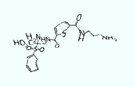 NCCCNC(=O)c1ccc(C(=O)NCC(N)(C(=O)O)S(=O)(=O)c2ccccc2)s1